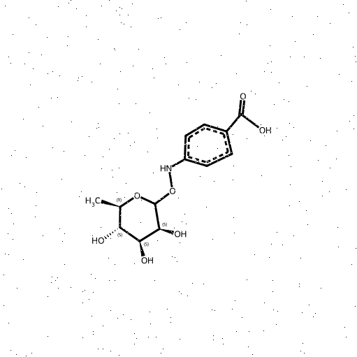 C[C@H]1OC(ONc2ccc(C(=O)O)cc2)[C@@H](O)[C@@H](O)[C@@H]1O